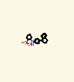 OB(O)c1ccccc1Nc1ccc(-c2cccc3ccccc23)cc1